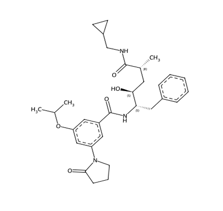 CC(C)Oc1cc(C(=O)N[C@@H](Cc2ccccc2)[C@@H](O)C[C@@H](C)C(=O)NCC2CC2)cc(N2CCCC2=O)c1